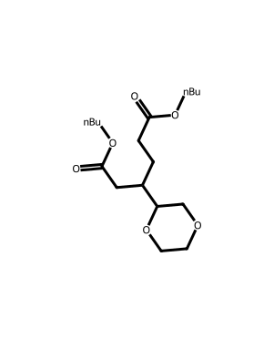 CCCCOC(=O)CCC(CC(=O)OCCCC)C1COCCO1